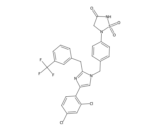 O=C1CN(c2ccc(Cn3cc(-c4ccc(Cl)cc4Cl)nc3Cc3cccc(C(F)(F)F)c3)cc2)S(=O)(=O)N1